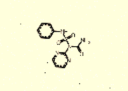 NC(=O)N(c1ncccn1)S(=O)(=O)Nc1ccccc1